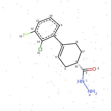 NNC(=O)[C@@H]1CC=C(c2cccc(F)c2Cl)CC1